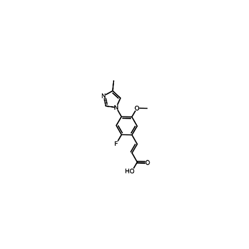 COc1cc(C=CC(=O)O)c(F)cc1-n1cnc(C)c1